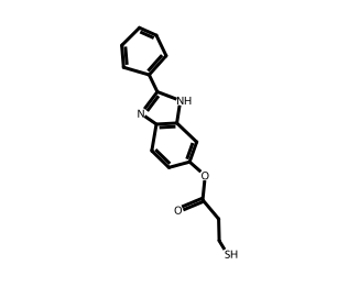 O=C(CCS)Oc1ccc2nc(-c3ccccc3)[nH]c2c1